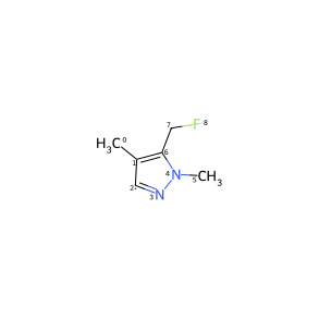 Cc1[c]nn(C)c1CF